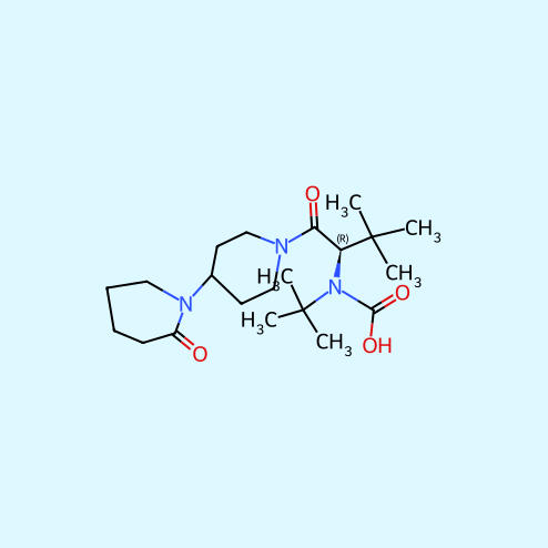 CC(C)(C)[C@H](C(=O)N1CCC(N2CCCCC2=O)CC1)N(C(=O)O)C(C)(C)C